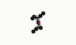 C=C(/C=C\C(=C/C)c1nc(-c2ccc(-c3ccccc3)cc2)c2sc3ccc4ccccc4c3c2n1)c1nc(-c2ccc(-c3ccccc3)cc2)c2ccccc2n1